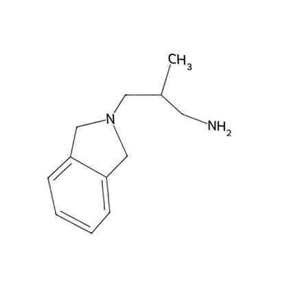 CC(CN)CN1Cc2ccccc2C1